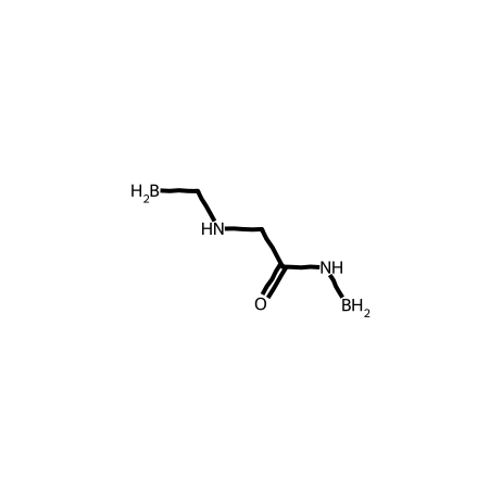 BCNCC(=O)NB